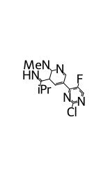 CNC1N=CC(c2nc(Cl)ncc2F)=CC1C(=N)C(C)C